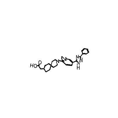 O=C(O)CC1CCC2(CC1)CCN(c1ccc(-c3nc(-c4ccccc4)n[nH]3)cn1)CC2